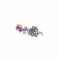 Cc1cnccc1-c1cccc([C@H](C)N(CCCCC(=O)NCCS(=O)(=O)NCC(=O)O)S(=O)(=O)c2ccccc2C(F)(F)F)c1